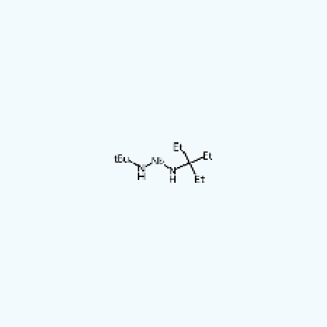 CCC(CC)(CC)[NH][Nb][NH]C(C)(C)C